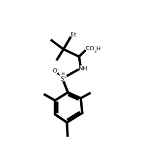 CCC(C)(C)C(N[S@@+]([O-])c1c(C)cc(C)cc1C)C(=O)O